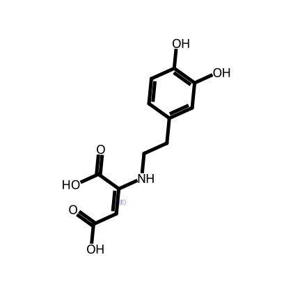 O=C(O)/C=C(/NCCc1ccc(O)c(O)c1)C(=O)O